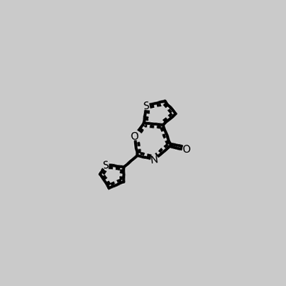 O=c1nc(-c2cccs2)oc2sccc12